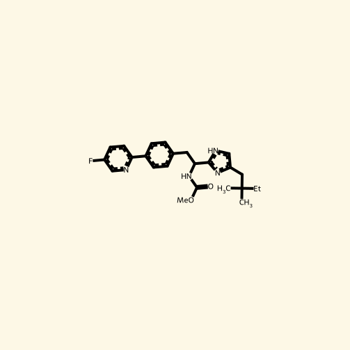 CCC(C)(C)Cc1c[nH]c(C(Cc2ccc(-c3ccc(F)cn3)cc2)NC(=O)OC)n1